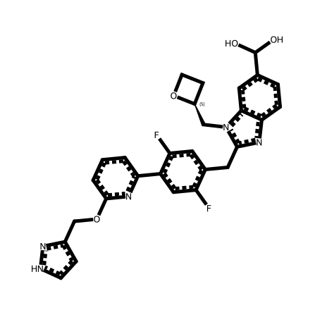 OC(O)c1ccc2nc(Cc3cc(F)c(-c4cccc(OCc5cc[nH]n5)n4)cc3F)n(C[C@@H]3CCO3)c2c1